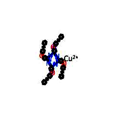 CC(C)(c1ccccc1)c1ccc(Oc2ccc3c(c2)-c2nc-3nc3[nH]c(nc4nc(nc5[nH]c(n2)c2cc(Oc6ccc(C(C)(C)c7ccccc7)cc6)ccc52)-c2ccc(Oc5ccc(C(C)(C)c6ccccc6)cc5)cc2-4)c2cc(Oc4ccc(C(C)(C)c5ccccc5)cc4)ccc32)cc1.[Cu+2]